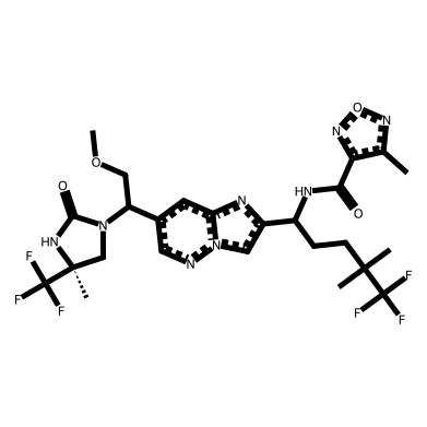 COCC(c1cnn2cc(C(CCC(C)(C)C(F)(F)F)NC(=O)c3nonc3C)nc2c1)N1C[C@@](C)(C(F)(F)F)NC1=O